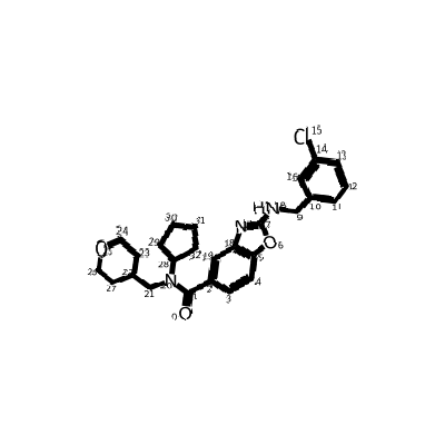 O=C(c1ccc2oc(NCc3cccc(Cl)c3)nc2c1)N(CC1CCOCC1)C1CCCC1